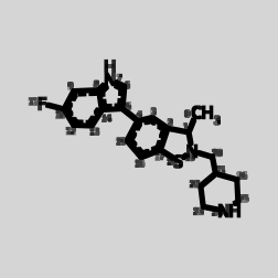 CC1c2cc(-c3c[nH]c4cc(F)ccc34)ccc2SN1CC1CCNCC1